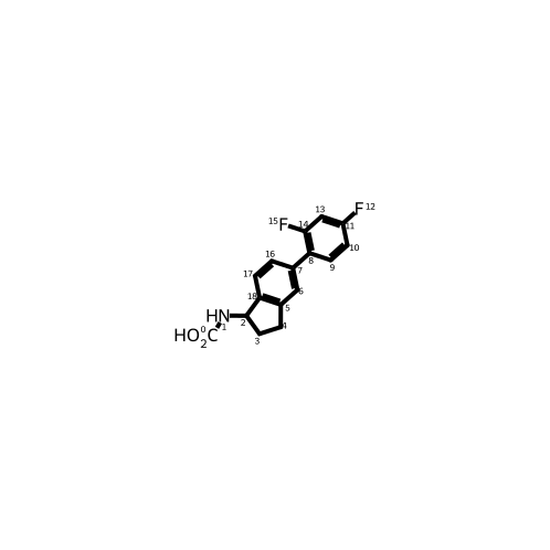 O=C(O)NC1CCc2cc(-c3ccc(F)cc3F)ccc21